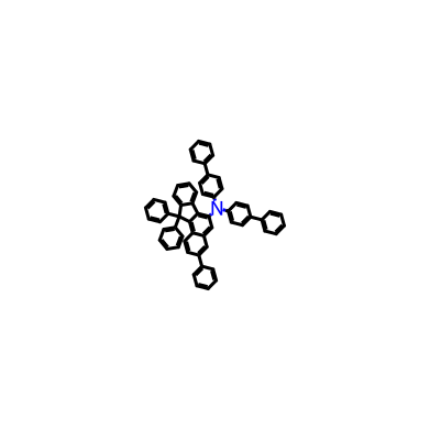 c1ccc(-c2ccc(N(c3ccc(-c4ccccc4)cc3)c3cc4cc(-c5ccccc5)ccc4c4c3-c3ccccc3C4(c3ccccc3)c3ccccc3)cc2)cc1